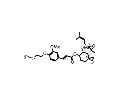 COc1cc(/C=C/C(=O)OC2CC[C@]3(CO3)[C@@H](C3(C)O[C@H]3CC=C(C)C)[C@@H]2OC)ccc1OCCOC(C)C